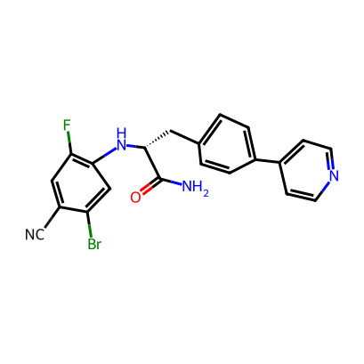 N#Cc1cc(F)c(N[C@H](Cc2ccc(-c3ccncc3)cc2)C(N)=O)cc1Br